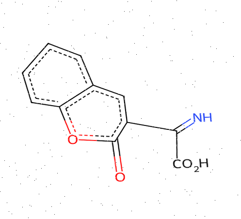 N=C(C(=O)O)c1cc2ccccc2oc1=O